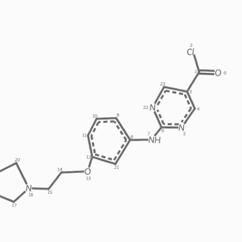 O=C(Cl)c1cnc(Nc2cccc(OCCN3CCCC3)c2)nc1